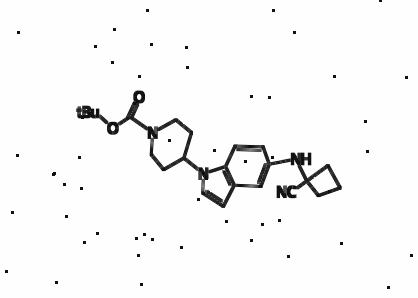 CC(C)(C)OC(=O)N1CCC(n2ccc3cc(NC4(C#N)CCC4)ccc32)CC1